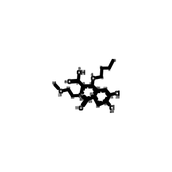 CCCCOc1c(C(=O)O)n(CCOC)c(=O)c2cc(Cl)c(Cl)cc12